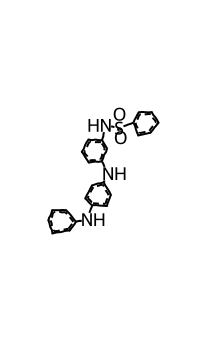 O=S(=O)(Nc1cccc(Nc2ccc(Nc3ccccc3)cc2)c1)c1ccccc1